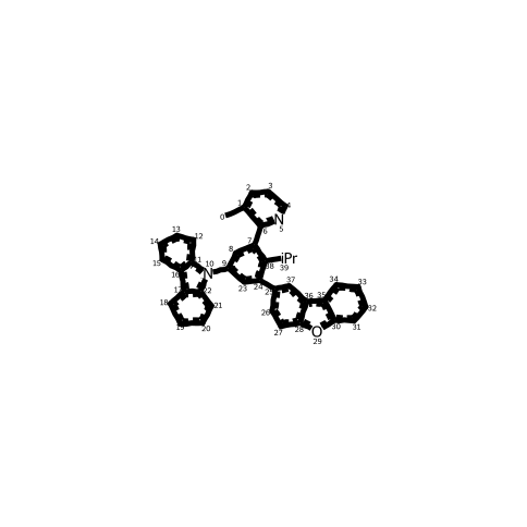 Cc1cccnc1-c1cc(-n2c3ccccc3c3ccccc32)cc(-c2ccc3oc4ccccc4c3c2)c1C(C)C